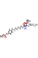 CC(C)(C)OC(=O)CCc1ccc(CCCCCCCCC(=O)N[C@@H](CCC(=O)O)C(=O)OC(C)(C)C)cc1